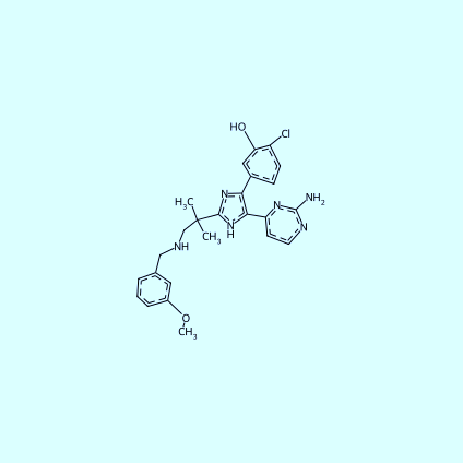 COc1cccc(CNCC(C)(C)c2nc(-c3ccc(Cl)c(O)c3)c(-c3ccnc(N)n3)[nH]2)c1